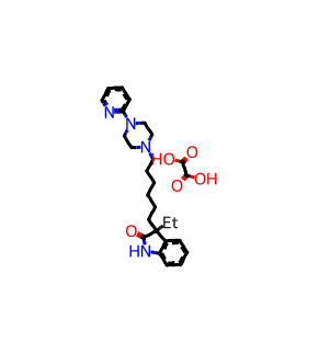 CCC1(CCCCCCN2CCN(c3ccccn3)CC2)C(=O)Nc2ccccc21.O=C(O)C(=O)O